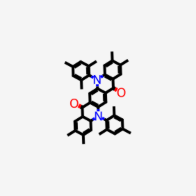 CC1=CC2C(=O)c3cc4c(cc3N(c3c(C)cc(C)cc3C)C2C=C1C)c(=O)c1cc(C)c(C)cc1n4-c1c(C)cc(C)cc1C